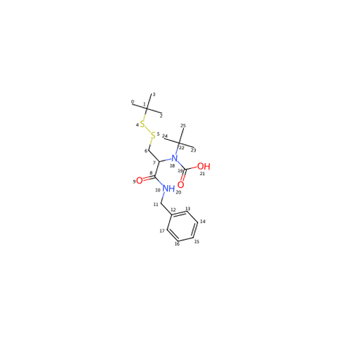 CC(C)(C)SSCC(C(=O)NCc1ccccc1)N(C(=O)O)C(C)(C)C